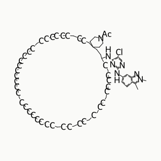 CC(=O)N1CCC2(CCCCCCCCCCCCCCCCCCCCCCCCCCCCCCCCCCCCCCCCCCCCCCCCC(Nc3nc(Nc4ccc5c(C)n(C)nc5c4)ncc3Cl)CC2)CC1